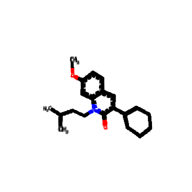 COc1ccc2cc(C3CCCCC3)c(=O)n(CCC(C)C)c2c1